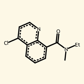 CCN(C)C(=O)c1cccc2c(Cl)ccnc12